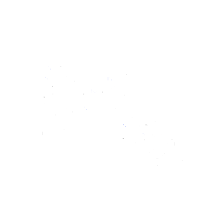 CNC(=O)c1nc(-c2cc3cn(C)nc3c(C)c2OCOC)nc2ccc(N3CCN(C(=O)OC(C)(C)C)[C@@H](C)C3)cc12